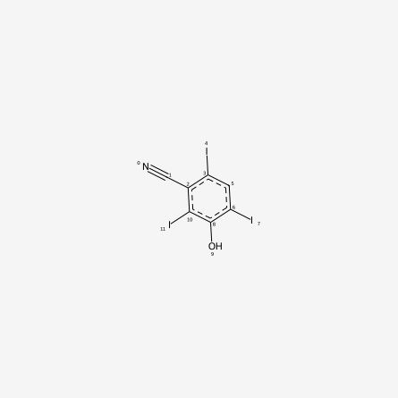 N#Cc1c(I)cc(I)c(O)c1I